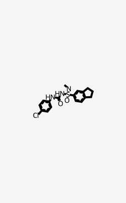 CN=S(=O)(NC(=O)Nc1ccc(Cl)cc1)c1ccc2c(c1)CCC2